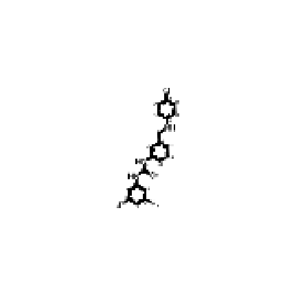 O=C(Nc1cc(F)cc(F)c1)Nc1cccc(CNc2ccc(Cl)cc2)c1